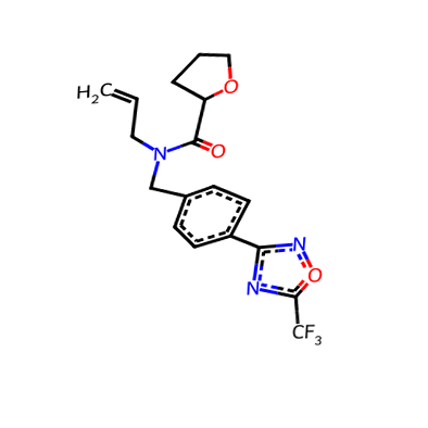 C=CCN(Cc1ccc(-c2noc(C(F)(F)F)n2)cc1)C(=O)C1CCCO1